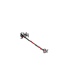 S=C(S)NCCCCCCCCCCCCCCCCCCCCCCCCCCCCCCCBr